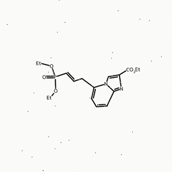 CCOC(=O)c1cn2c(C/C=C/P(=O)(OCC)OCC)cccc2n1